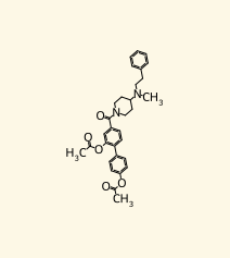 CC(=O)Oc1ccc(-c2ccc(C(=O)N3CCC(N(C)CCc4ccccc4)CC3)cc2OC(C)=O)cc1